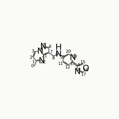 Cc1ccn2ncc(CNc3ccc(-c4cocn4)nc3)c2n1